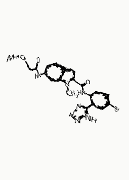 COCC(=O)Nc1ccc2cc(C(=O)Nc3ccc(Br)cc3-c3nnn[nH]3)n(C)c2c1